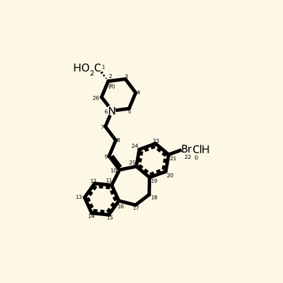 Cl.O=C(O)[C@@H]1CCCN(CCC=C2c3ccccc3CCc3cc(Br)ccc32)C1